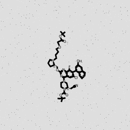 CC(C)(C)OC(=O)COCCCCN1CCC[C@H]1COc1nc(N2CCN(C(=O)OC(C)(C)C)[C@@H](CC#N)C2)c2cc(Cl)c(-c3cc(O)cc4ccccc34)c(F)c2n1